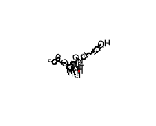 Cl.Cl.O=C(NC1CCN(CCN2CCC(O)CC2)CC1)c1cc2c(OCc3coc4cc(F)ccc34)cccc2[nH]1